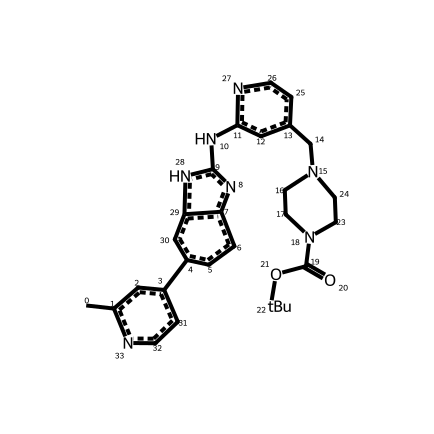 Cc1cc(-c2ccc3nc(Nc4cc(CN5CCN(C(=O)OC(C)(C)C)CC5)ccn4)[nH]c3c2)ccn1